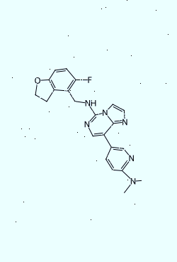 CN(C)c1ccc(-c2cnc(NCc3c(F)ccc4c3CCO4)n3ccnc23)cn1